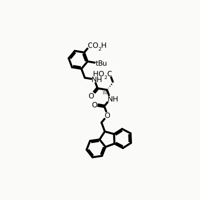 CC(C)(C)c1c(CNC(=O)[C@H](CC(=O)O)NC(=O)OCC2c3ccccc3-c3ccccc32)cccc1C(=O)O